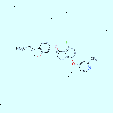 O=C(O)C[C@@H]1COc2cc(O[C@@H]3CCc4c(Oc5ccnc(C(F)(F)F)c5)ccc(F)c43)ccc21